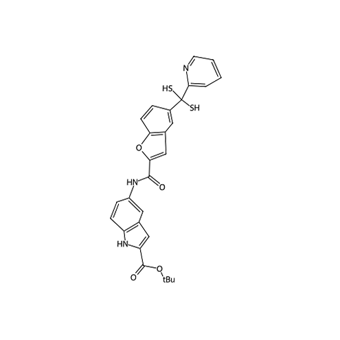 CC(C)(C)OC(=O)c1cc2cc(NC(=O)c3cc4cc(C(S)(S)c5ccccn5)ccc4o3)ccc2[nH]1